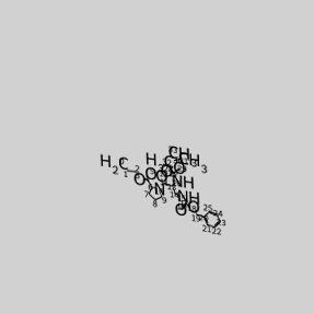 C=CCOC(=O)C1CCCN1C(=O)[C@H](CNC(=O)OCc1ccccc1)NC(=O)OC(C)(C)C